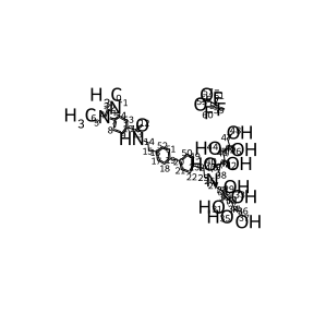 CCn1c[n+](CC)c2ccc(C(=O)NCCc3ccc(-c4ccc(CCN(C[C@H](O)[C@@H](O)[C@H](O)[C@H](O)CO)C[C@H](O)[C@@H](O)[C@H](O)[C@H](O)CO)cc4)cc3)cc21.O=C([O-])C(F)(F)F